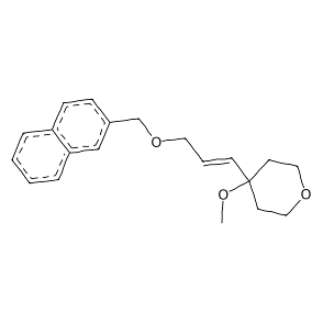 COC1(/C=C/COCc2ccc3ccccc3c2)CCOCC1